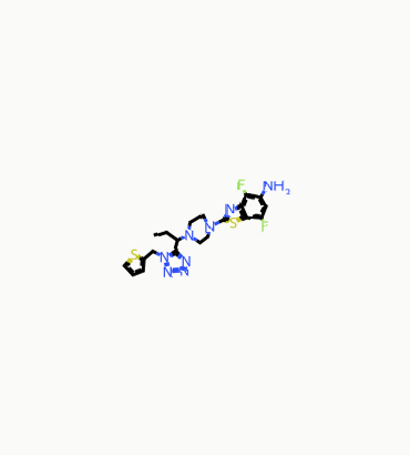 CCC(c1nnnn1Cc1cccs1)N1CCN(c2nc3c(F)c(N)cc(F)c3s2)CC1